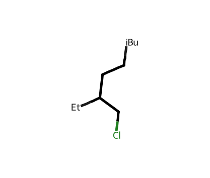 CCC(C)CCC(CC)CCl